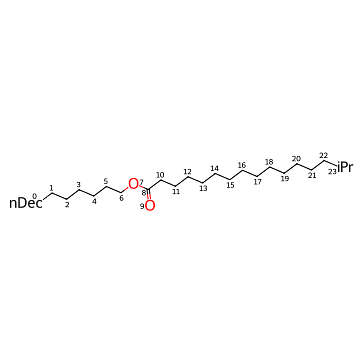 CCCCCCCCCCCCCCCCOC(=O)CCCCCCCCCCCCCC(C)C